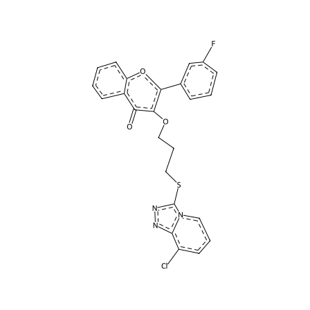 O=c1c(OCCCSc2nnc3c(Cl)cccn23)c(-c2cccc(F)c2)oc2ccccc12